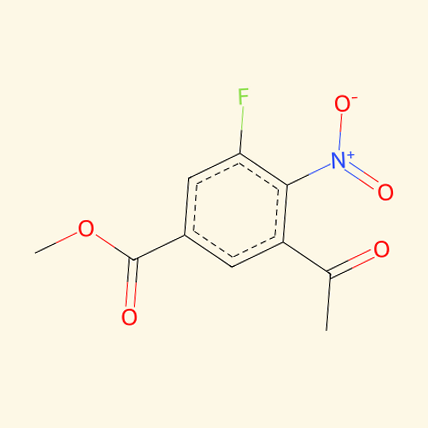 COC(=O)c1cc(F)c([N+](=O)[O-])c(C(C)=O)c1